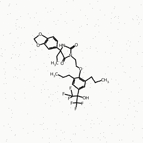 CCCc1cc(C(O)(C(F)(F)F)C(F)(F)F)cc(CCC)c1OCCN1C(=O)NC(CC)(c2ccc3c(c2)OCO3)C1=O